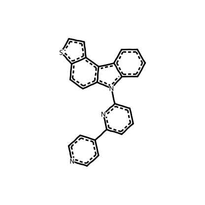 c1cc(-c2ccncc2)nc(-n2c3ccccc3c3c4ccsc4ccc32)c1